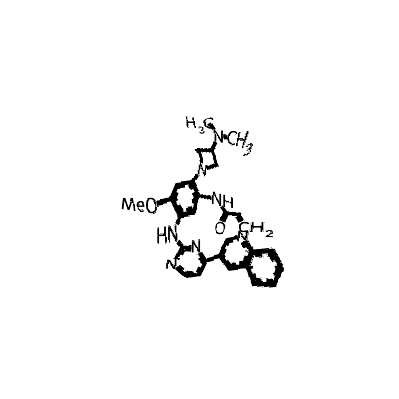 C=CC(=O)Nc1cc(Nc2nccc(-c3cnc4ccccc4c3)n2)c(OC)cc1N1CC(N(C)C)C1